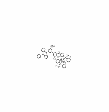 CC(C)(C)c1cc(-c2cc3c4c(c2)Oc2ccc(C(C)(C)c5ccccc5)cc2B4c2cc(C(C)(C)c4ccccc4)ccc2O3)cc(-c2c3ccccc3c(-c3ccccc3)c3ccccc23)c1